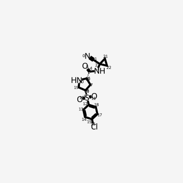 N#CC1(NC(=O)[C@@H]2C[C@@H](S(=O)(=O)c3ccc(Cl)cc3)CN2)CC1